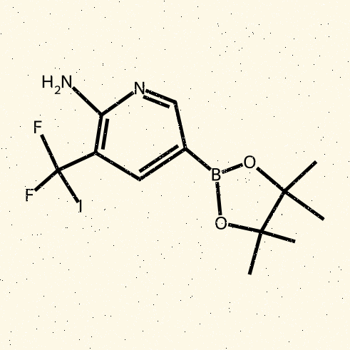 CC1(C)OB(c2cnc(N)c(C(F)(F)I)c2)OC1(C)C